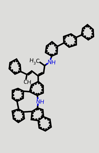 C/C(=C\C(=C/C(C)Nc1cccc(-c2ccc(-c3ccccc3)cc2)c1)c1ccc2c(c1)-c1cccc(c1)-c1ccccc1-c1cc3ccccc3cc1N2)c1ccccc1